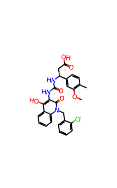 COc1cc([C@H](CC(=O)O)NC(=O)Nc2c(O)c3ccccc3n(Cc3ccccc3Cl)c2=O)ccc1C